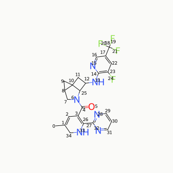 CC1=CC(C(=O)N2CC3CC34CC(Nc3ncc(C(F)(F)F)cc3F)C24)=C(c2ncccn2)NC1